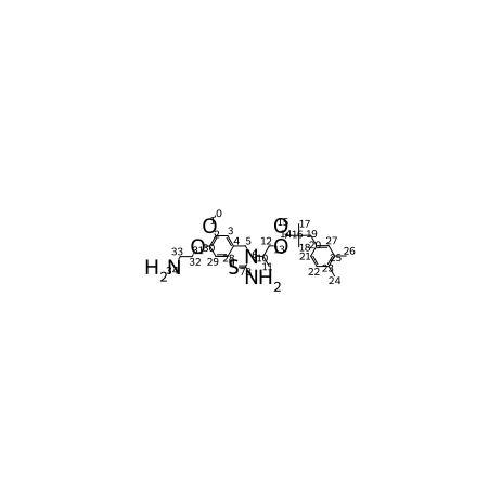 COc1cc(CN(C(N)=S)C(C)COC(=O)C(C)(C)Cc2ccc(C)c(C)c2)ccc1OCCN